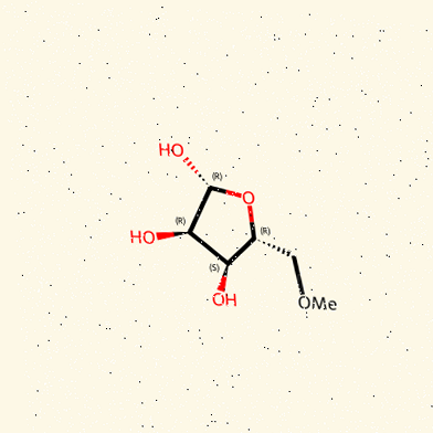 COC[C@H]1O[C@@H](O)[C@H](O)[C@@H]1O